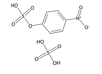 O=S(=O)(O)O.O=[N+]([O-])c1ccc(OS(=O)(=O)O)cc1